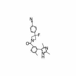 Cc1nc(C)c(-c2cc(C(=O)N3CC(F)(c4ccc(C#N)cc4)C3)ccc2C)[nH]1